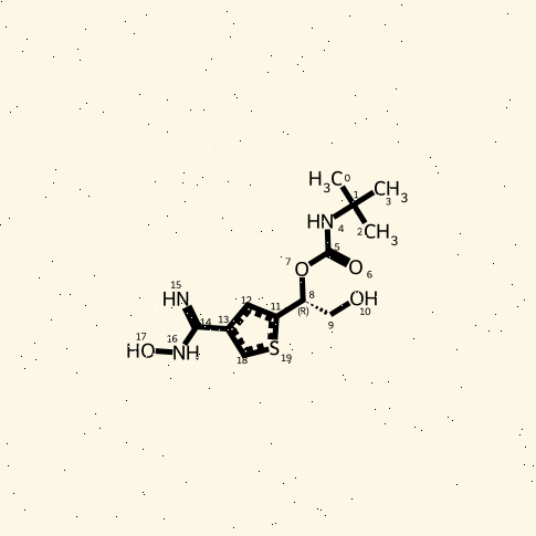 CC(C)(C)NC(=O)O[C@H](CO)c1cc(C(=N)NO)cs1